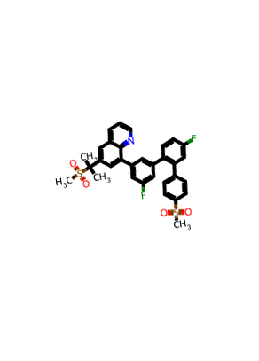 CC(C)(c1cc(-c2cc(F)cc(-c3ccc(F)cc3-c3ccc(S(C)(=O)=O)cc3)c2)c2ncccc2c1)S(C)(=O)=O